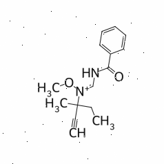 C#CC(C)(CC)[N+](=CNC(=O)c1ccccc1)OC